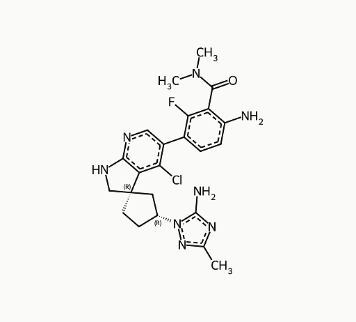 Cc1nc(N)n([C@@H]2CC[C@@]3(CNc4ncc(-c5ccc(N)c(C(=O)N(C)C)c5F)c(Cl)c43)C2)n1